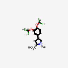 CC(=O)N1CC(c2ccc(OC(F)F)c(OC(F)F)c2)C[C@@H]1C(=O)O